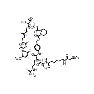 CSCC(=O)NCCCCCC(=O)N[C@H](C(=O)N[C@@H](CCCNC(N)=O)C(=O)Nc1ccc(COC(=O)N2CCCCN2C(=O)C[C@@H]2C[C@@]3(CO3)[C@H](O)[C@@H](/C=C/C(C)=C/C[C@@H]3O[C@H](C)[C@H](NC(=O)/C=C\[C@H](C)OC(C)=O)C[C@@H]3C)O2)cc1)C(C)C